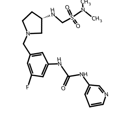 CN(C)S(=O)(=O)CN[C@H]1CCN(Cc2cc(F)cc(NC(=O)Nc3cccnc3)c2)C1